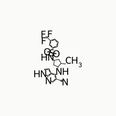 CCC1CC(NS(=O)(=O)c2cccc(C(F)(F)F)c2)CC1Nc1c(C#N)cnc2[nH]ccc12